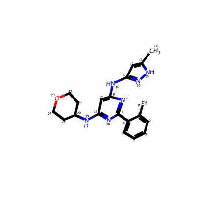 CCc1ccccc1-c1nc(Nc2cc(C)[nH]n2)cc(NC2CCOCC2)n1